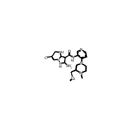 COCC1CN(c2ccncc2NC(=O)C2C(N)NN3CC(Cl)CNC23)CCN1C